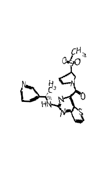 C[C@H](Nc1nc(C(=O)N2CCC(S(C)(=O)=O)C2)c2sccc2n1)c1cccnc1